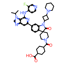 CC(C)n1cnc2cc(-c3ccc4c(c3)N(C3CC(N5CCCCC5)C3)C(=O)C43CCN(C(=O)C4CCC(C(=O)O)CC4)CC3)nc(Nc3ccncc3F)c21